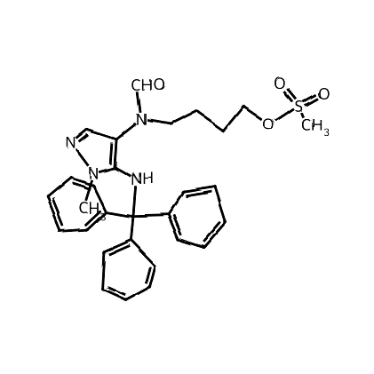 Cn1ncc(N(C=O)CCCCOS(C)(=O)=O)c1NC(c1ccccc1)(c1ccccc1)c1ccccc1